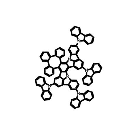 c1ccc2c(c1)c1ccccc1c1c3c4cc(-n5c6ccccc6c6ccccc65)cc5c6cc(-n7c8ccccc8c8ccccc87)ccc6n(c54)c3c3c4cc(-n5c6ccccc6c6ccccc65)cc5c6cc(-n7c8ccccc8c8ccccc87)ccc6n(c54)c3c1c1ccccc21